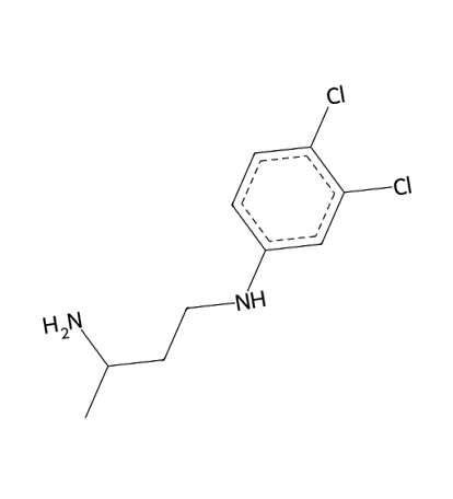 CC(N)CCNc1ccc(Cl)c(Cl)c1